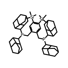 C[Si](C)(C)c1cc(CP(C2C3CC4CC(C3)CC2C4)C2C3CC4CC(C3)CC2C4)c(CP(C2C3CC4CC(C3)CC2C4)C2C3CC4CC(C3)CC2C4)cc1[Si](C)(C)C